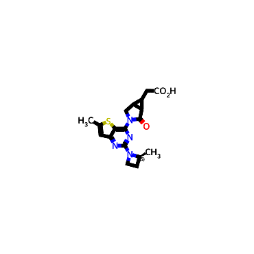 Cc1cc2nc(N3CC[C@@H]3C)nc(N3CC4C(CC(=O)O)C4C3=O)c2s1